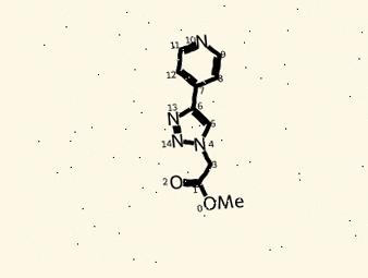 COC(=O)Cn1cc(-c2ccncc2)nn1